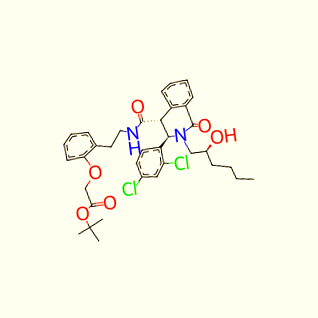 CCCC[C@H](O)CN1C(=O)c2ccccc2[C@@H](C(=O)NCCc2ccccc2OCC(=O)OC(C)(C)C)[C@@H]1c1ccc(Cl)cc1Cl